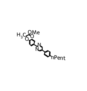 CCCCCc1ccc(-c2cnc(-c3ccc(OC(C)C(=O)OC)cc3)nc2)cc1